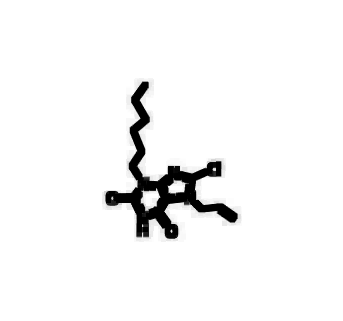 C=CCn1c(Cl)nc2c1c(=O)[nH]c(=O)n2CCCCCC